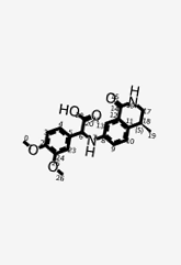 COc1ccc(C(Nc2ccc3c(c2)C(=O)NC[C@H]3C)C(=O)O)cc1OC